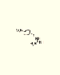 N=C(N)NCCc1ccc([N+](=O)[O-])cc1